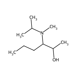 CCCC(C(C)O)N(C)C(C)C